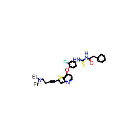 CCN(CC)CCC#Cc1cc2nccc(Oc3ccc(NC(=S)NC(=O)Cc4ccccc4)cc3F)c2s1